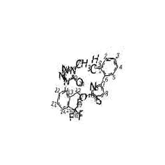 Cc1ccccc1-c1csc(OCc2c(-n3nnn(C)c3=O)cccc2C(F)(F)F)n1